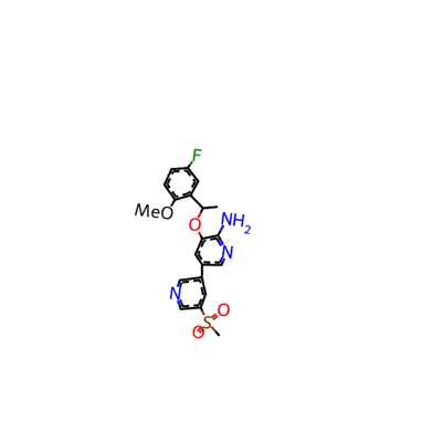 COc1ccc(F)cc1C(C)Oc1cc(-c2cncc(S(C)(=O)=O)c2)cnc1N